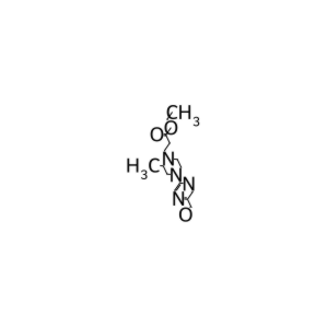 CCOC(=O)CCN1CCN(c2cnc(C=O)cn2)CC1C